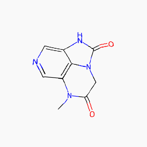 CN1C(=O)Cn2c(=O)[nH]c3cncc1c32